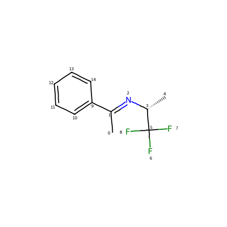 CC(=N[C@H](C)C(F)(F)F)c1ccccc1